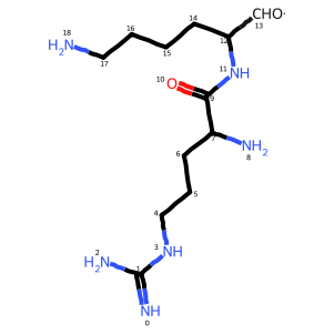 N=C(N)NCCCC(N)C(=O)NC([C]=O)CCCCN